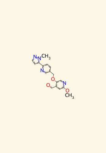 COc1cc(C=O)c(OCc2ccc(-c3ccnn3C)nc2)cn1